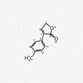 Cc1ccc(C2=CCOC2=O)cc1